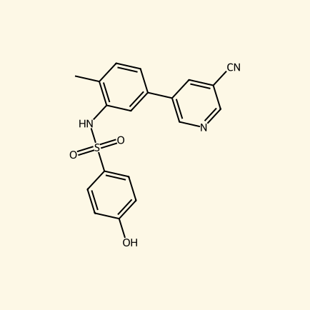 Cc1ccc(-c2cncc(C#N)c2)cc1NS(=O)(=O)c1ccc(O)cc1